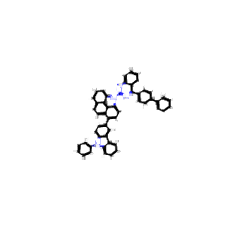 c1ccc(-c2ccc(-c3nc(-n4c5cccc6ccc7c(-c8ccc9c(c8)c8ccccc8n9-c8ccccc8)ccc4c7c65)nc4ccccc34)cc2)cc1